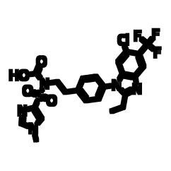 CCc1nc2cc(C(F)(F)F)c(Cl)cc2n1-c1ccc(CCN(C(=O)O)S(=O)(=O)c2cn(C)cn2)cc1